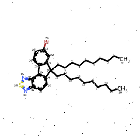 CCCCCCCCCCC1(CCCCCCCCCC)c2cc(Br)ccc2-c2c1ccc1nsnc21